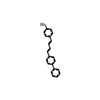 CC(C)(C)c1ccc(C=CC=Cc2ccc(-c3ccccc3)cc2)cc1